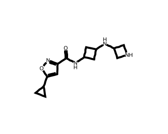 O=C(NC1CC(NC2CNC2)C1)c1cc(C2CC2)on1